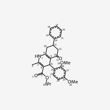 CCCOC(=O)C1=C(C)NC2=C(C(=O)CC(c3ccccc3)C2)C1c1ccc(OC)cc1OC